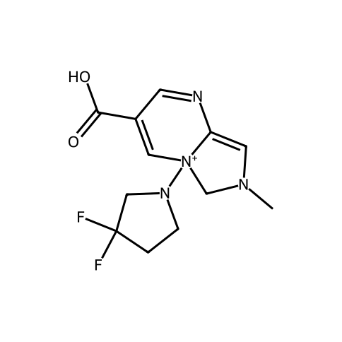 CN1C=C2N=CC(C(=O)O)=C[N+]2(N2CCC(F)(F)C2)C1